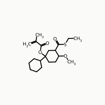 C=C(C)C(=O)OC1(C2CCCCC2)CCC(OC)C(C(=O)SCC)C1